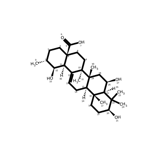 C[C@@H]1CC[C@]2(C(=O)O)CC[C@]3(C)C(=CC[C@@H]4[C@@]5(C)CC[C@H](O)C(C)(C)[C@@H]5[C@H](O)C[C@]43C)[C@H]2[C@H]1O